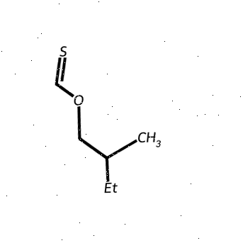 CCC(C)COC=S